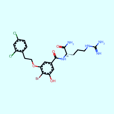 N=C(N)NCCC[C@H](NC(=O)c1cc(O)c(Br)c(OCCc2ccc(Cl)cc2Cl)c1)C(N)=O